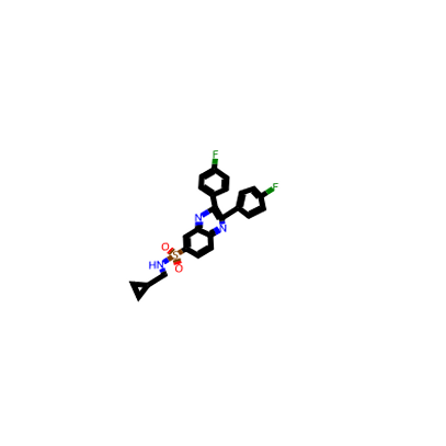 O=S(=O)(NCC1CC1)c1ccc2nc(-c3ccc(F)cc3)c(-c3ccc(F)cc3)nc2c1